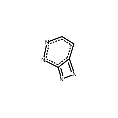 c1cc2c(nn1)=NN=2